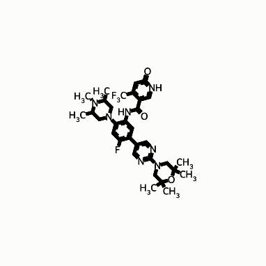 CC1CN(c2cc(F)c(-c3cnc(N4CC(C)(C)OC(C)(C)C4)nc3)cc2NC(=O)c2c[nH]c(=O)cc2C(F)(F)F)CC(C)N1C